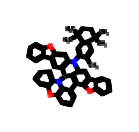 Cc1cc2c(cc1N1c3cc4oc5ccccc5c4cc3B3c4c1cc1c(oc5ccccc51)c4-c1cccc4c1N3c1ccccc1O4)C(C)(C)CCC2(C)C